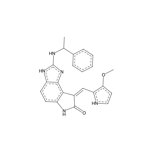 COc1cc[nH]c1/C=C1\C(=O)Nc2ccc3[nH]c(NC(C)c4ccccc4)nc3c21